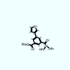 CCCN(CCC)C(=O)c1cc(C(=O)OC)cc(-c2ccsc2)c1